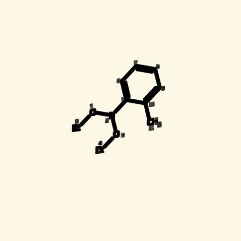 CCON(OCC)c1ccccc1C